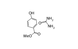 COC(=O)c1ccc(O)cc1.NC(N)=O